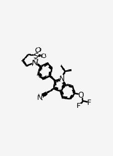 CC(C)n1c(-c2ccc(N3CCCS3(=O)=O)cc2)c(C#N)c2ccc(OC(F)F)cc21